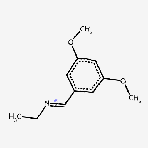 CC/N=C/c1cc(OC)cc(OC)c1